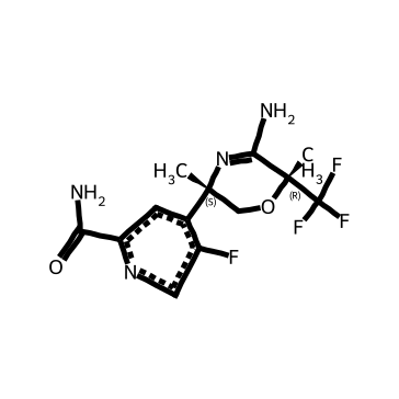 C[C@]1(c2cc(C(N)=O)ncc2F)CO[C@@](C)(C(F)(F)F)C(N)=N1